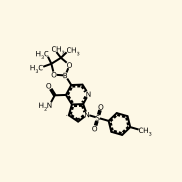 Cc1ccc(S(=O)(=O)n2c[c]c3c(C(N)=O)c(B4OC(C)(C)C(C)(C)O4)cnc32)cc1